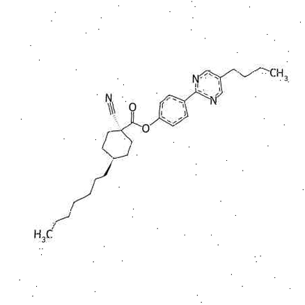 CCCCCCC[C@H]1CC[C@@](C#N)(C(=O)Oc2ccc(-c3ncc(CCCC)cn3)cc2)CC1